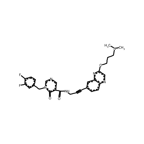 CN(C)CCCOc1cnc2ccc(C#CCNC(=O)c3cncn(Cc4ccc(F)c(F)c4)c3=O)cc2n1